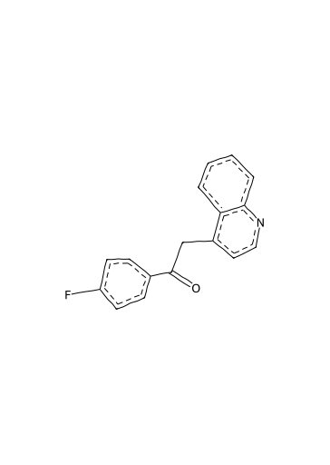 O=C(Cc1ccnc2ccccc12)c1ccc(F)cc1